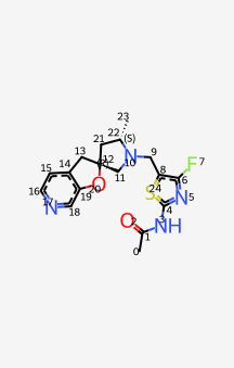 CC(=O)Nc1nc(F)c(CN2C[C@@]3(Cc4ccncc4O3)C[C@@H]2C)s1